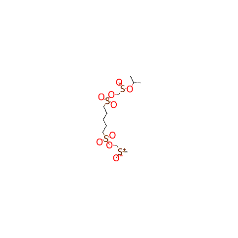 CC(C)OS(=O)COS(=O)(=O)CCCCCS(=O)(=O)OC[S+](C)[O-]